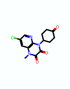 Cn1c(=O)c(=O)n(C2CCC(=O)CC2)c2ncc(Cl)cc21